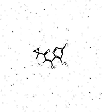 CC1(C(=O)C(C#N)=C(O)c2ccc(Cl)cc2[N+](=O)[O-])CC1